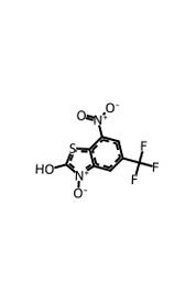 O=[N+]([O-])c1cc(C(F)(F)F)cc2c1sc(O)[n+]2[O-]